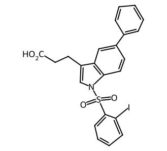 O=C(O)CCc1cn(S(=O)(=O)c2ccccc2I)c2ccc(-c3ccccc3)cc12